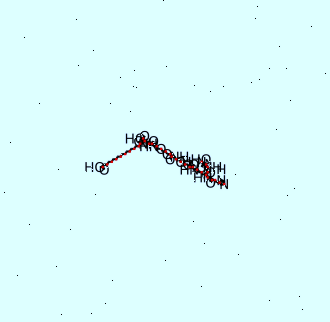 NC(=O)[C@H](CO)NCC(=O)[C@H](CCCCNC(=O)COCCOCCNC(=O)COCCOCCNC(=O)CC[C@H](NC(=O)CCCCCCCCCCCCCCCCC(=O)O)C(=O)O)NCC(=O)CCc1cnc[nH]1